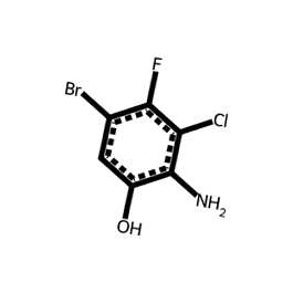 Nc1c(O)cc(Br)c(F)c1Cl